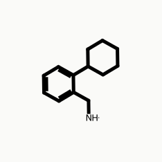 [NH]Cc1ccccc1C1CCCCC1